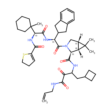 C=CCNC(=O)C(=O)C(CC1CCC1)NC(=O)[C@@H]1[C@@H]2[C@H](CN1C(=O)[C@@H](NC(=O)[C@@H](NC(=O)C1=CCCS1)C1(C)CCCCC1)C1Cc3ccccc3C1)C2(C)C